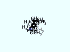 C/C(=C(\F)CO)c1cc2c(c(Cl)c1OC(C)C)OC(C)(C)C=C2C(C)C